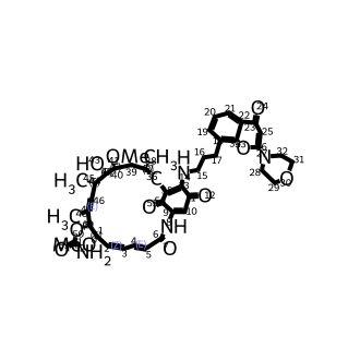 CO[C@H]1/C=C\C=C\C(=O)NC2=CC(=O)C(NCCCc3cccc4c(=O)cc(N5CCOCC5)oc34)=C(C[C@@H](C)C[C@H](OC)[C@H](O)[C@@H](C)/C=C(\C)[C@@H]1OC(N)=O)C2=O